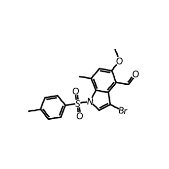 COc1cc(C)c2c(c(Br)cn2S(=O)(=O)c2ccc(C)cc2)c1C=O